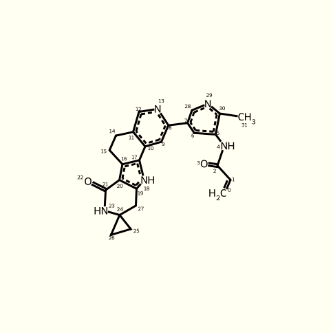 C=CC(=O)Nc1cc(-c2cc3c(cn2)CCc2c-3[nH]c3c2C(=O)NC2(CC2)C3)cnc1C